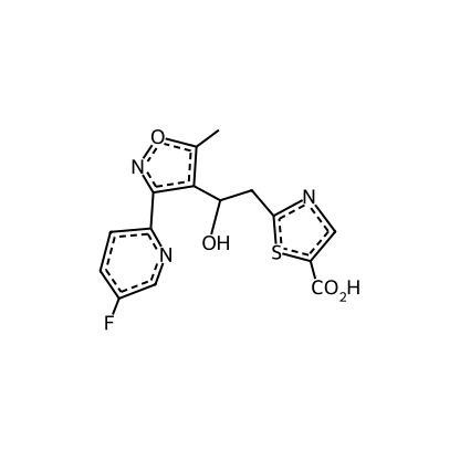 Cc1onc(-c2ccc(F)cn2)c1C(O)Cc1ncc(C(=O)O)s1